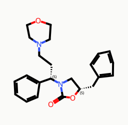 O=C1O[C@@H](Cc2ccccc2)CN1[C@@H](CCN1CCOCC1)c1ccccc1